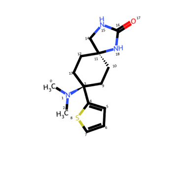 CN(C)[C@]1(c2cccs2)CC[C@]2(CC1)CNC(=O)N2